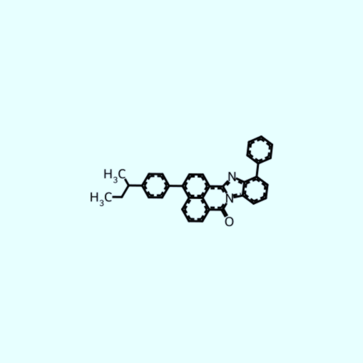 CCC(C)c1ccc(-c2ccc3c4c2cccc4c(=O)n2c4cccc(-c5ccccc5)c4nc32)cc1